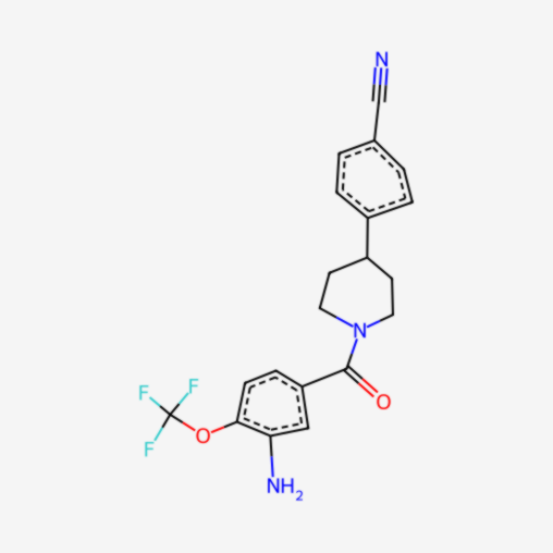 N#Cc1ccc(C2CCN(C(=O)c3ccc(OC(F)(F)F)c(N)c3)CC2)cc1